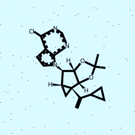 C=C(C1CC1)[C@@]12C[C@@H]1[C@@H](n1ccc3c(Cl)ncnc31)[C@@H]1OC(C)(C)O[C@@H]12